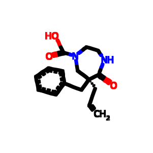 C=CC[C@]1(Cc2ccccc2)CN(C(=O)O)CCNC1=O